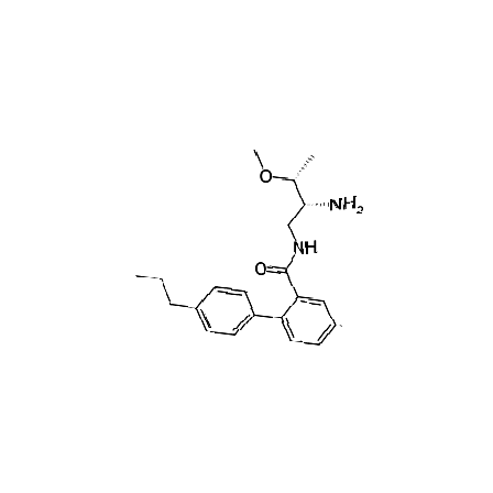 CCCc1ccc(-c2cc[c]cc2C(=O)NC[C@@H](N)[C@@H](C)OC)cc1